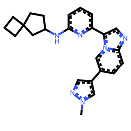 Cn1cc(-c2ccc3ncc(-c4cccc(NC5CCC6(CCC6)C5)n4)n3c2)cn1